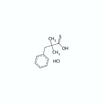 CC(C)(Cc1ccccc1)C(O)=S.Cl